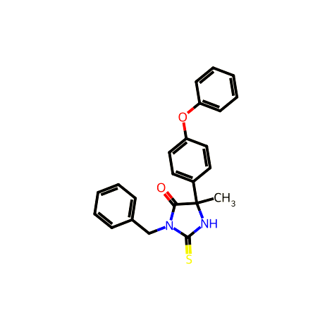 CC1(c2ccc(Oc3ccccc3)cc2)NC(=S)N(Cc2ccccc2)C1=O